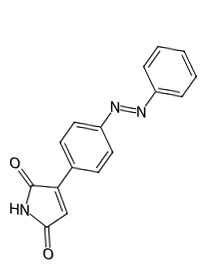 O=C1C=C(c2ccc(N=Nc3ccccc3)cc2)C(=O)N1